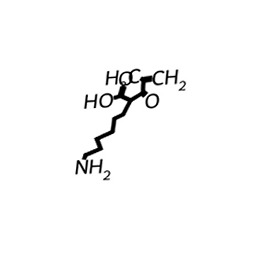 C=C(C)C(=O)C(CCCCCCN)C(=O)O